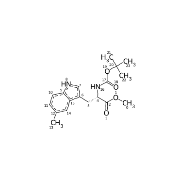 COC(=O)[C@H](Cc1c[nH]c2ccc(C)cc12)NC(=O)OC(C)(C)C